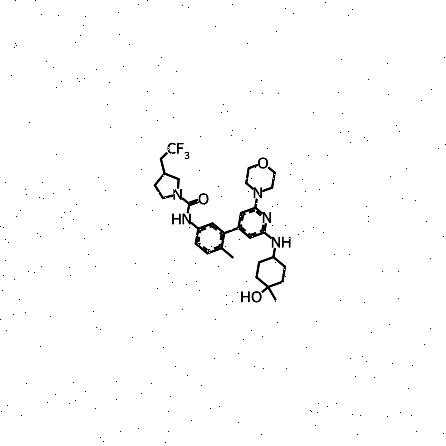 Cc1ccc(NC(=O)N2CCC(CC(F)(F)F)C2)cc1-c1cc(NC2CCC(C)(O)CC2)nc(N2CCOCC2)c1